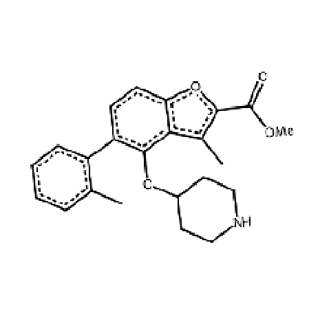 COC(=O)c1oc2ccc(-c3ccccc3C)c(OC3CCNCC3)c2c1C